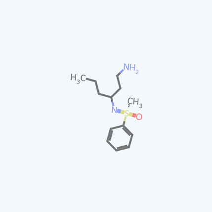 CCCC(CCN)N=[S@@](C)(=O)c1ccccc1